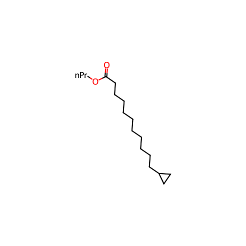 CCCOC(=O)CCCCCCCCCCC1CC1